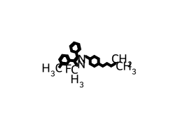 C=C(C)CCCC1CCC(Cn2nc(C)c(-c3cccc(C)c3F)c2C2C=CC=CC2)CC1